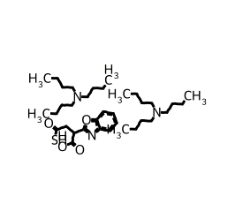 CCCCN(CCCC)CCCC.CCCCN(CCCC)CCCC.O=C(S)CC(C(=O)O)c1nc2ccccc2o1